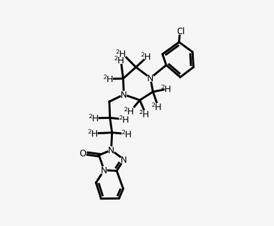 [2H]C([2H])(CN1C([2H])([2H])C([2H])([2H])N(c2cccc(Cl)c2)C([2H])([2H])C1([2H])[2H])C([2H])([2H])n1nc2ccccn2c1=O